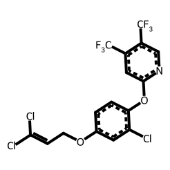 FC(F)(F)c1cnc(Oc2ccc(OCC=C(Cl)Cl)cc2Cl)cc1C(F)(F)F